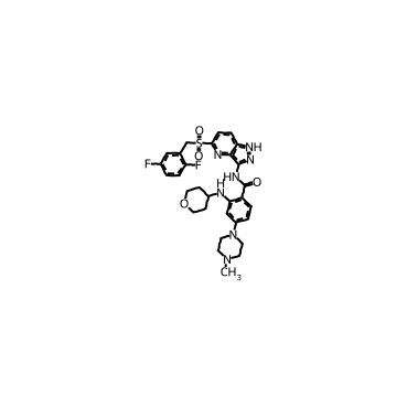 CN1CCN(c2ccc(C(=O)Nc3n[nH]c4ccc(S(=O)(=O)Cc5cc(F)ccc5F)nc34)c(NC3CCOCC3)c2)CC1